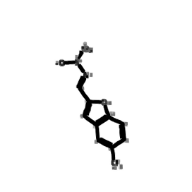 CC(C)(C)[S@+]([O-])N=Cc1cc2cc(C(F)(F)F)ccc2o1